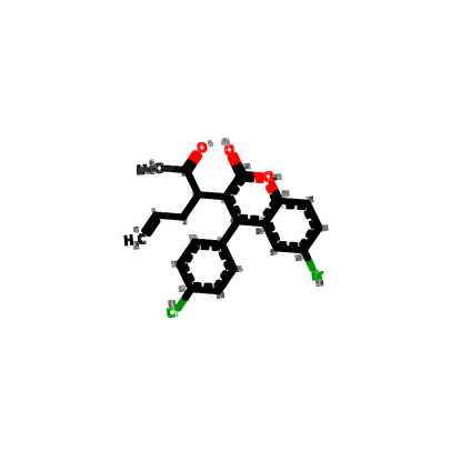 C=CCC(C(=O)OC)c1c(-c2ccc(Cl)cc2)c2cc(Br)ccc2oc1=O